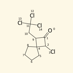 O=C1C(Cl)C2(CCCC2)C1CC(Cl)(Cl)Cl